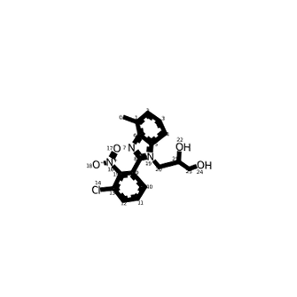 Cc1cccc2c1nc(-c1cccc(Cl)c1[N+](=O)[O-])n2CC(O)CO